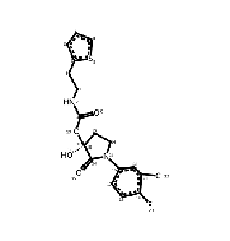 O=C(NCCc1cccs1)O[C@@]1(O)CCN(c2ccc(F)c(Cl)c2)C1=O